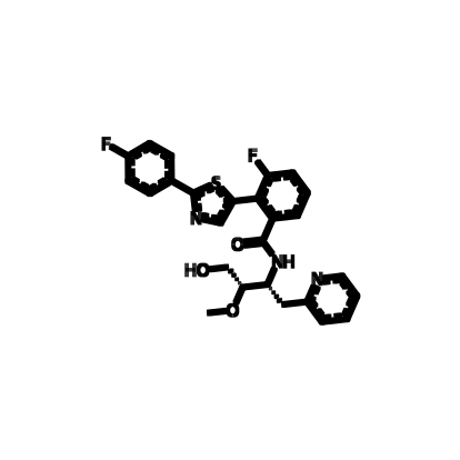 CO[C@H](CO)[C@@H](Cc1ccccn1)NC(=O)c1cccc(F)c1-c1cnc(-c2ccc(F)cc2)s1